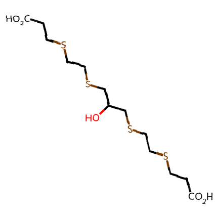 O=C(O)CCSCCSCC(O)CSCCSCCC(=O)O